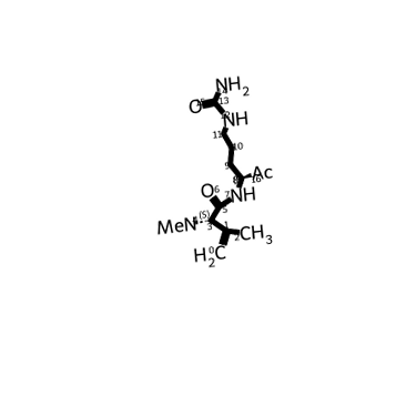 C=C(C)[C@H](NC)C(=O)N[C@@H](CCCNC(N)=O)C(C)=O